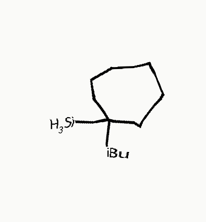 CCC(C)C1([SiH3])CCCCC1